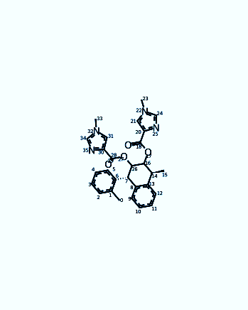 Cc1ccccc1[C@H]1c2ccccc2[C@H](C)C(OC(=O)c2cn(C)cn2)C1OC(=O)c1cn(C)cn1